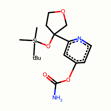 CC(C)(C)[Si](C)(C)OC1(c2cc(OC(N)=O)ccn2)CCOC1